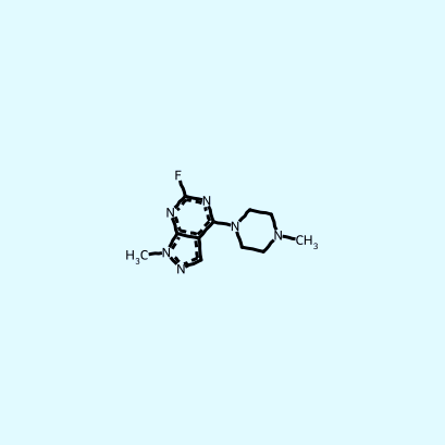 CN1CCN(c2nc(F)nc3c2cnn3C)CC1